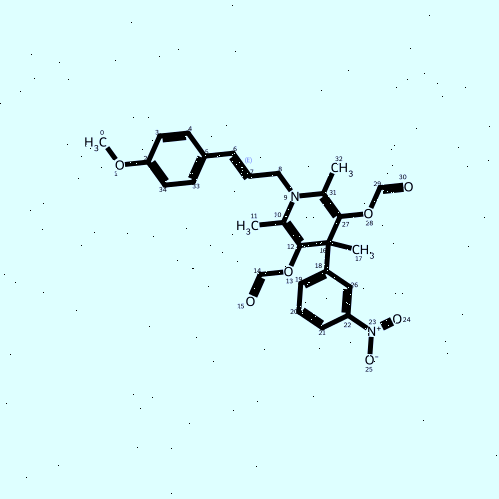 COc1ccc(/C=C/CN2C(C)=C(OC=O)C(C)(c3cccc([N+](=O)[O-])c3)C(OC=O)=C2C)cc1